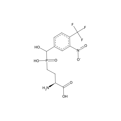 N[C@@H](CCP(=O)(O)C(O)c1ccc(C(F)(F)F)c([N+](=O)[O-])c1)C(=O)O